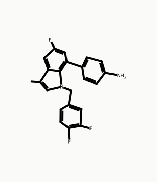 Cc1cn(Cc2ccc(F)c(F)c2)c2c(-c3ccc(N)cc3)cc(F)cc12